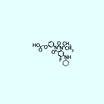 CC(C)n1c(=O)n(-c2cccc(OCC(=O)O)c2)c(=O)c2cc(F)c(NC3CCCCC3)cc21